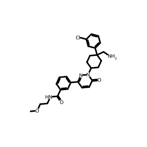 COCCNC(=O)c1cccc(-c2ccc(=O)n(C3CCC(CN)(c4cccc(Cl)c4)CC3)n2)c1